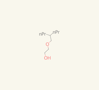 CCCC(CCC)COCCO